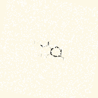 C=CC(=C)c1ccc(F)cc1N